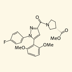 COC(=O)[C@H]1CCN(C(=O)c2cc(-c3c(OC)cccc3OC)n(-c3ccc(F)cc3)n2)C1